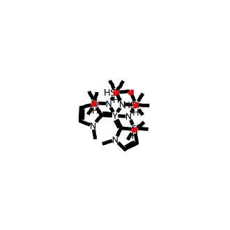 CN1C=CN(C)[C]1=[Y](=[C]1N(C)C=CN1C)([N]([SiH](C)C)[SiH](C)C)([N]([SiH](C)C)[SiH](C)C)[N]([SiH](C)C)[SiH](C)C